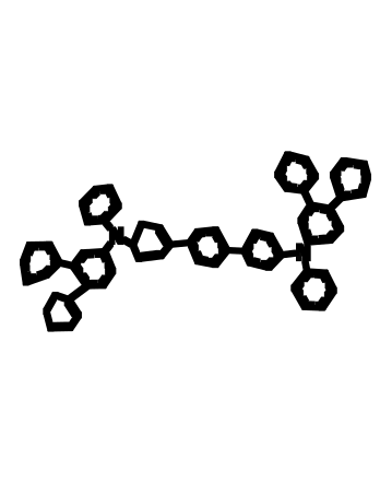 C1=CCCC(c2ccc(N(c3ccccc3)C3C=CC(c4ccc(-c5ccc(N(c6ccccc6)c6ccc(-c7ccccc7)c(-c7ccccc7)c6)cc5)cc4)=CC3)cc2-c2ccccc2)=C1